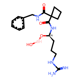 N=C(N)NCCC[C@H](NC(=O)C1(C(=O)NCc2ccccc2)CCC1)OBO